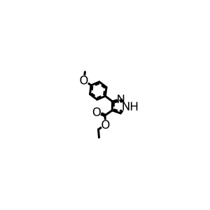 CCOC(=O)c1c[nH]nc1-c1ccc(OC)cc1